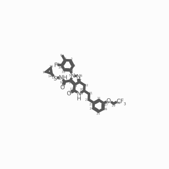 Cc1ccc(-n2nc3c(c2C(=O)NSC2CC2)C(=O)NC(CCc2cccc(OCC(F)(F)F)c2)C3)cc1F